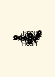 Oc1c(O)c(O)c2c(-c3ccc4oc5cc6ccccc6cc5c4c3)c3c(O)c(O)c(O)c(O)c3c(-c3ccc(-c4ccc(-c5ccccc5)cc4)cc3)c2c1O